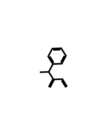 C=CC(=C)C(C)c1ccccc1